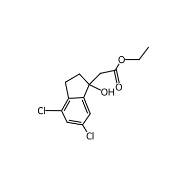 CCOC(=O)CC1(O)CCc2c(Cl)cc(Cl)cc21